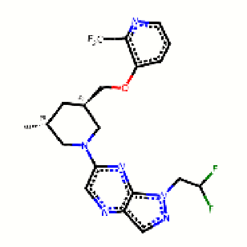 C[C@@H]1C[C@@H](COc2cccnc2C(F)(F)F)CN(c2cnc3cnn(CC(F)F)c3n2)C1